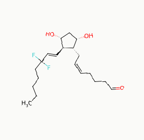 CCCCCC(F)(F)/C=C/[C@@H]1[C@@H](C/C=C\CCCC=O)[C@@H](O)C[C@H]1O